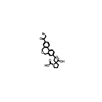 O=C(CBr)c1ccc2c(c1)COCc1cc(C(=O)CC3(C(=O)O)CCCN3C(=O)O)ccc1-2